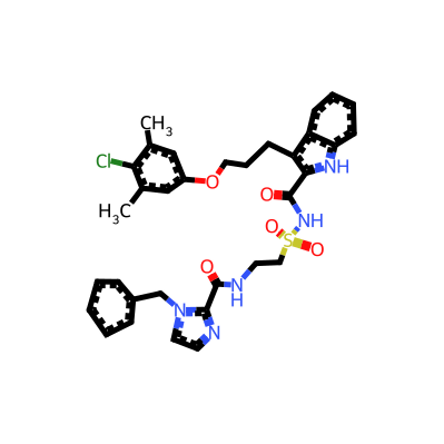 Cc1cc(OCCCc2c(C(=O)NS(=O)(=O)CCNC(=O)c3nccn3Cc3ccccc3)[nH]c3ccccc23)cc(C)c1Cl